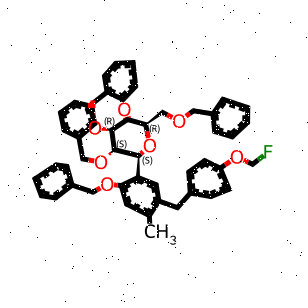 Cc1cc(OCc2ccccc2)c([C@@H]2O[C@H](COCc3ccccc3)C(=O)[C@H](OCc3ccccc3)[C@H]2OCc2ccccc2)cc1Cc1ccc(OCF)cc1